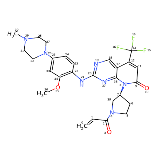 C=CC(=O)N1CC[C@H](n2c(=O)cc(C(F)(F)F)c3cnc(Nc4ccc(N5CCN(C)CC5)cc4OC)nc32)C1